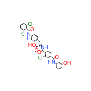 O=C(Nc1cccc(O)c1)c1ccc(C(=O)N[C@@H](Cc2ccc(NC(=O)c3c(Cl)cccc3Cl)cc2)C(=O)O)c(Cl)c1